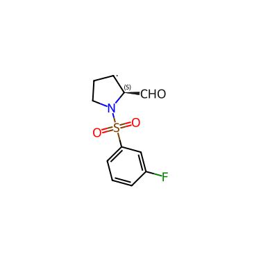 O=C[C@@H]1[CH]CCN1S(=O)(=O)c1cccc(F)c1